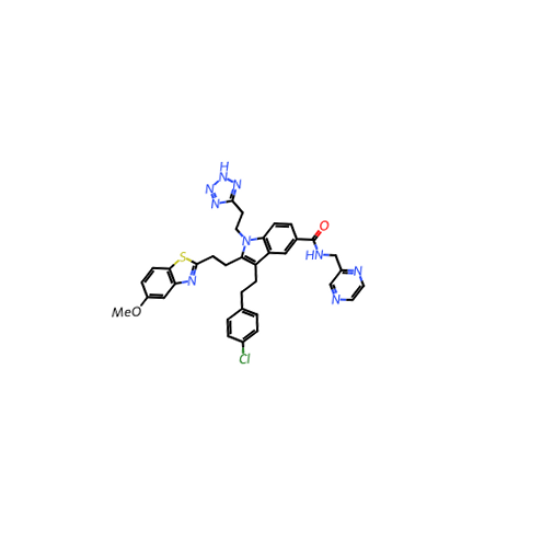 COc1ccc2sc(CCc3c(CCc4ccc(Cl)cc4)c4cc(C(=O)NCc5cnccn5)ccc4n3CCc3nn[nH]n3)nc2c1